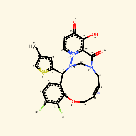 Cc1csc([C@@H]2c3ccc(F)c(F)c3OC/C=C\CN3CN2n2ccc(=O)c(O)c2C3=O)c1